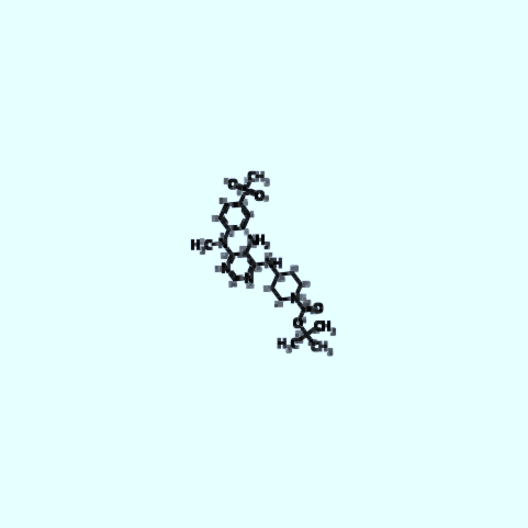 CN(c1ccc(S(C)(=O)=O)cc1)c1ncnc(NC2CCN(C(=O)OC(C)(C)C)CC2)c1N